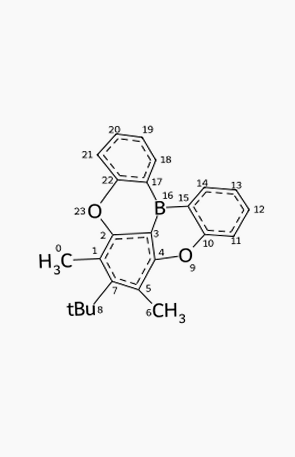 Cc1c2c3c(c(C)c1C(C)(C)C)Oc1ccccc1B3c1ccccc1O2